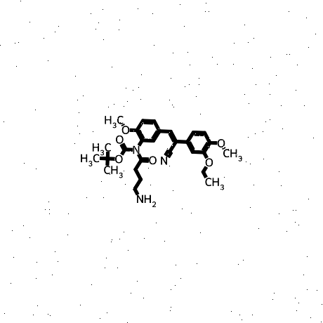 CCOc1cc(C(C#N)=Cc2ccc(OC)c(N(C(=O)CCCN)C(=O)OC(C)(C)C)c2)ccc1OC